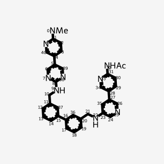 CNc1ccc(-c2cnc(NCc3cccc(-c4cccc(CNc5cncc(-c6ccc(NC(C)=O)nc6)c5)c4)c3)nc2)cn1